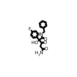 NC(=O)CC(=O)C(O)(C(=O)NCc1ccccc1)c1ccc(F)cc1